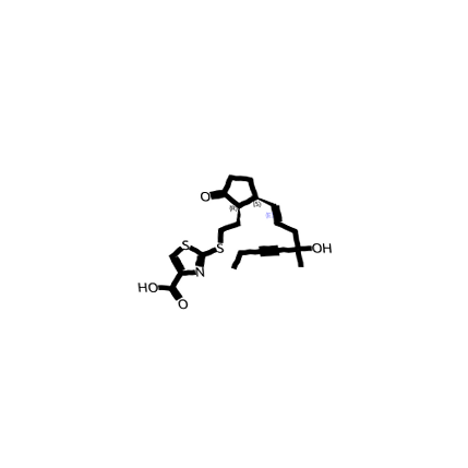 CCC#CC(C)(O)C/C=C/[C@@H]1CCC(=O)[C@@H]1CCSc1nc(C(=O)O)cs1